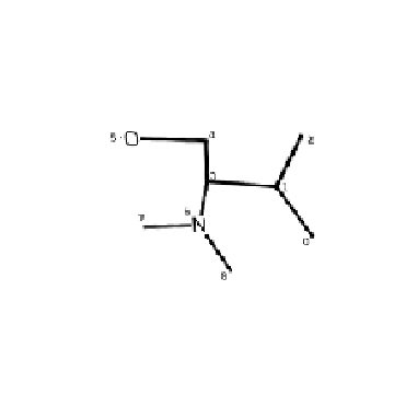 CC(C)C(C[O])N(C)C